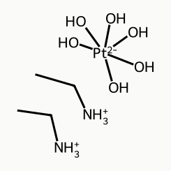 CC[NH3+].CC[NH3+].[OH][Pt-2]([OH])([OH])([OH])([OH])[OH]